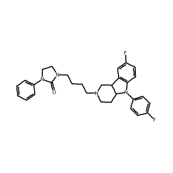 O=C1N(CCCCN2CCC3C(C2)c2cc(F)ccc2N3c2ccc(F)cc2)CCN1c1ccccc1